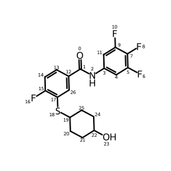 O=C(Nc1cc(F)c(F)c(F)c1)c1ccc(F)c(SC2CCC(O)CC2)c1